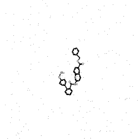 CC(C)(C)Oc1ccc(-c2ccccc2C(=O)Nc2ccc3cc(C(=O)OCc4ccccc4)ccc3n2)cc1